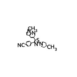 CC1CCN(c2nc(-c3ccc(C#N)cc3)c(-c3cnc4c(ccn4C)c3)s2)CC1